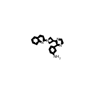 Nc1cccc(-c2nccnc2C2CN(c3ccc4ccccc4n3)C2)c1